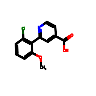 COc1cccc(Cl)c1-c1cc(C(=O)O)ccn1